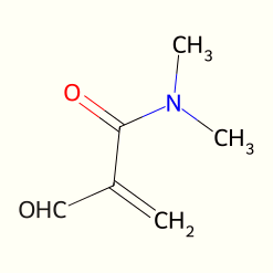 C=C(C=O)C(=O)N(C)C